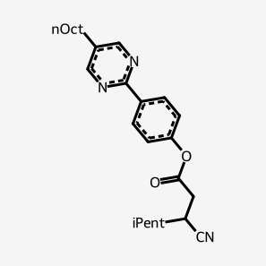 CCCCCCCCc1cnc(-c2ccc(OC(=O)CC(C#N)C(C)CCC)cc2)nc1